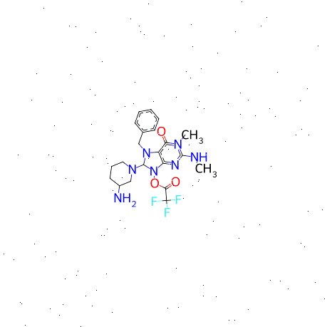 CNc1nc2c(c(=O)n1C)N(Cc1ccccc1)C(N1CCCC(N)C1)N2OC(=O)C(F)(F)F